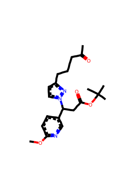 COc1ccc(C(CC(=O)OC(C)(C)C)n2ccc(CCCC(C)=O)n2)cn1